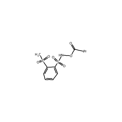 CC(C)C(=O)ONS(=O)(=O)c1ccccc1S(C)(=O)=O